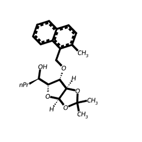 CCC[C@@H](O)[C@H]1O[C@@H]2OC(C)(C)O[C@@H]2[C@H]1OCc1c(C)ccc2ccccc12